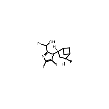 CC(C)C(O)c1nc(I)c(I)n1[C@@H]1C[C@H](F)C2CC1C2